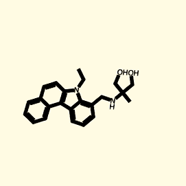 CCn1c2ccc3ccccc3c2c2cccc(CNC(C)(CO)CO)c21